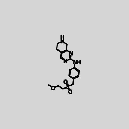 COCCS(=O)(=O)Cc1ccc(Nc2ncc3c(n2)CNCC3)cc1